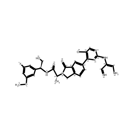 COc1cc(F)cc([C@@H](CO)NC(=O)[C@@H](C)N2Cc3ccc(-c4nc(N/C(C=N)=C/N)ncc4Cl)cc3C2=O)c1